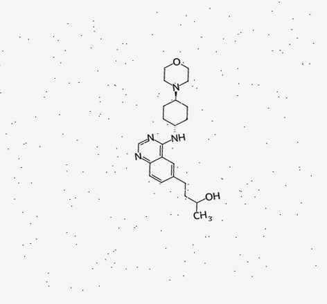 CC(O)CCc1ccc2ncnc(N[C@H]3CC[C@H](N4CCOCC4)CC3)c2c1